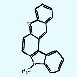 Cn1c2ccccc2c2c3cc4ccccc4nc3ccc21